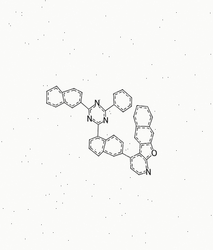 c1ccc(-c2nc(-c3ccc4ccccc4c3)nc(-c3cccc4cc(-c5ccnc6oc7cc8ccccc8cc7c56)ccc34)n2)cc1